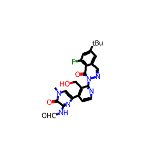 Cn1cc(-c2ccnc(-n3ncc4cc(C(C)(C)C)cc(F)c4c3=O)c2CO)nc(NC=O)c1=O